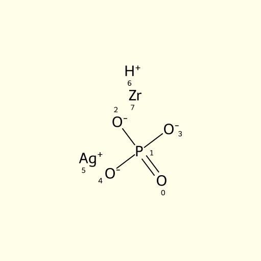 O=P([O-])([O-])[O-].[Ag+].[H+].[Zr]